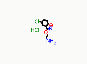 Cl.NCCOc1noc2ccc(Cl)cc12